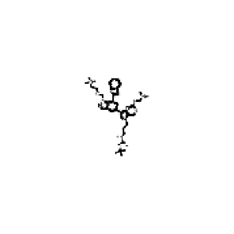 CN(C)C=Nc1ncc2c(n1)c(-c1cc(-c3cc4ccccc4s3)c3c(cnn3COCC[Si](C)(C)C)c1)cn2CCCNC(=O)OC(C)(C)C